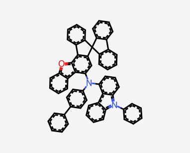 c1ccc(-c2ccc(N(c3cc4c(c5oc6ccccc6c35)-c3ccccc3C43c4ccccc4-c4ccccc43)c3cccc4c3c3ccccc3n4-c3ccccc3)cc2)cc1